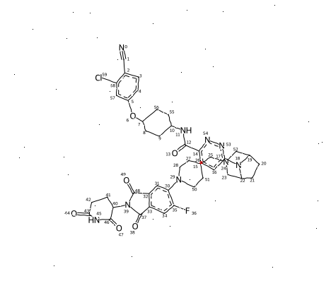 N#Cc1ccc(OC2CCC(NC(=O)c3ccc(N4C5CCC4CN(CC4CCN(c6cc7c(cc6F)C(=O)N(C6CCC(=O)NC6=O)C7=O)CC4)C5)nn3)CC2)cc1Cl